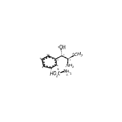 C[C@@H](N)[C@@H](O)c1ccccc1.NC(=O)O